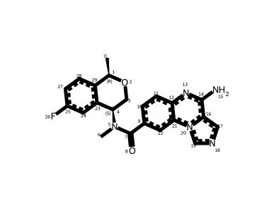 C[C@H]1OC[C@@H](N(C)C(=O)c2ccc3nc(N)c4cncn4c3c2)c2cc(F)ccc21